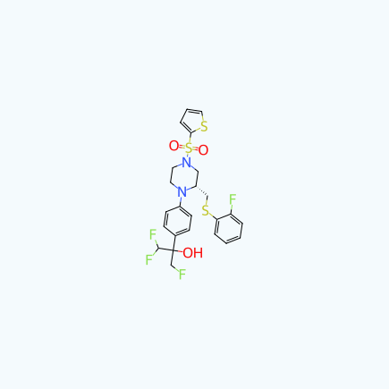 O=S(=O)(c1cccs1)N1CCN(c2ccc(C(O)(CF)C(F)F)cc2)[C@@H](CSc2ccccc2F)C1